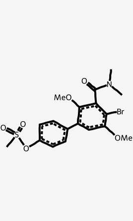 COc1cc(-c2ccc(OS(C)(=O)=O)cc2)c(OC)c(C(=O)N(C)C)c1Br